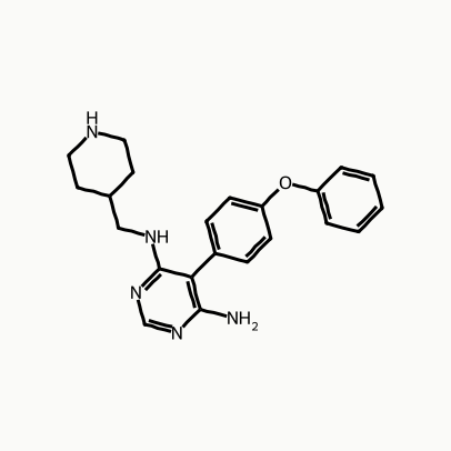 Nc1ncnc(NCC2CCNCC2)c1-c1ccc(Oc2ccccc2)cc1